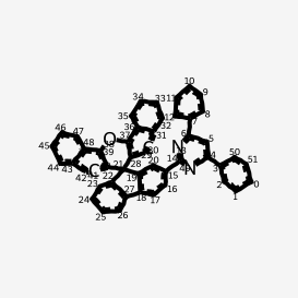 c1ccc(-c2cc(-c3ccccc3)nc(-c3ccc4c(c3)C3(c5ccccc5-4)c4ccc5ccccc5c4Oc4c3ccc3ccccc43)n2)cc1